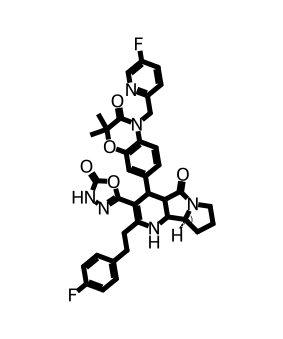 CC1(C)Oc2cc(C3C(c4n[nH]c(=O)o4)=C(CCc4ccc(F)cc4)NC4C3C(=O)N3CCC[C@@H]43)ccc2N(Cc2ccc(F)cn2)C1=O